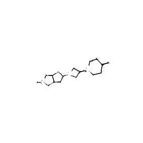 CC1CCN(C2CN(C3CC4CN(C)CC4C3)C2)CC1